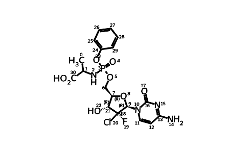 CC(NP(=O)(OC[C@H]1O[C@@H](n2ccc(N)nc2=O)[C@@](F)(Cl)[C@@H]1O)Oc1ccccc1)C(=O)O